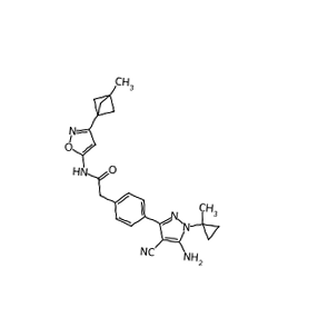 CC12CC(c3cc(NC(=O)Cc4ccc(-c5nn(C6(C)CC6)c(N)c5C#N)cc4)on3)(C1)C2